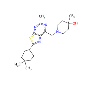 Cc1nc(CN2CCC(O)(C(F)(F)F)CC2)c2nc(C3CCC(C)(C)CC3)sc2n1